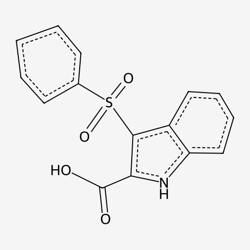 O=C(O)c1[nH]c2ccccc2c1S(=O)(=O)c1ccccc1